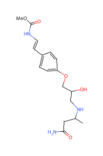 COC(=O)NC=Cc1ccc(OCC(O)CNC(C)CC(N)=O)cc1